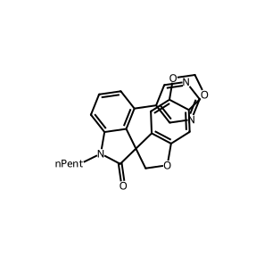 CCCCCN1C(=O)C2(COc3cc4c(cc32)OCO4)c2c(-c3cncnc3)cccc21